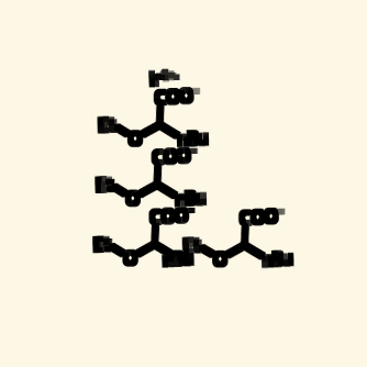 CCCCC(OCC)C(=O)[O-].CCCCC(OCC)C(=O)[O-].CCCCC(OCC)C(=O)[O-].CCCCC(OCC)C(=O)[O-].[Ir+4]